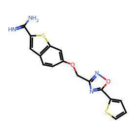 N=C(N)c1cc2ccc(OCc3noc(-c4cccs4)n3)cc2s1